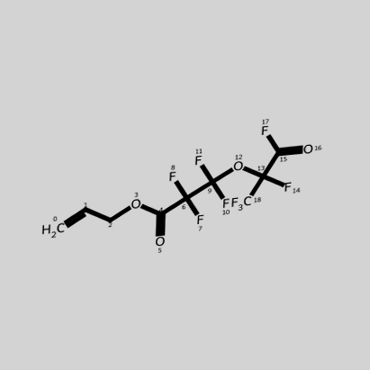 C=CCOC(=O)C(F)(F)C(F)(F)OC(F)(C(=O)F)C(F)(F)F